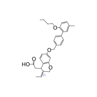 C/C=C1/COc2cc(OCc3ccc(-c4cc(C)ccc4OCCCC)cc3)ccc2C1CC(=O)O